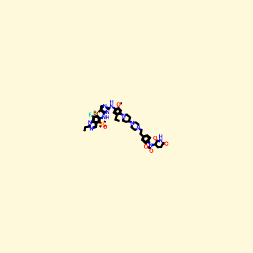 CCc1ncc2c(P(C)(C)=O)c(Nc3nc(Nc4cc(CC)c(N5CCC(N6CCN(CCc7ccc8c(c7)oc(=O)n8C7CCC(=O)NC7=O)CC6)CC5)cc4OC)ncc3Br)cc(F)c2n1